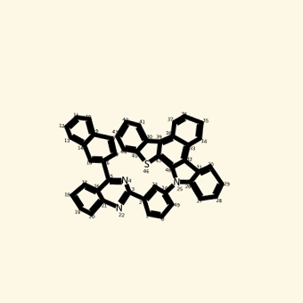 c1cc(-c2nc(-c3ccc4ccccc4c3)c3ccccc3n2)cc(-n2c3ccccc3c3c4ccccc4c4c5ccccc5sc4c32)c1